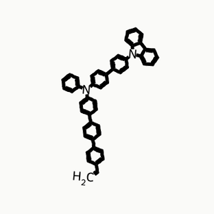 C=Cc1ccc(-c2ccc(-c3ccc(N(c4ccccc4)c4ccc(-c5ccc(-n6c7ccccc7c7ccccc76)cc5)cc4)cc3)cc2)cc1